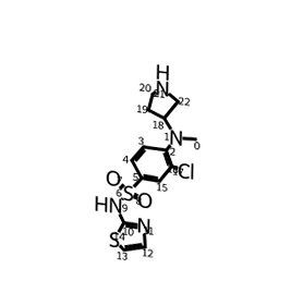 CN(c1ccc(S(=O)(=O)Nc2nccs2)cc1Cl)C1CCNC1